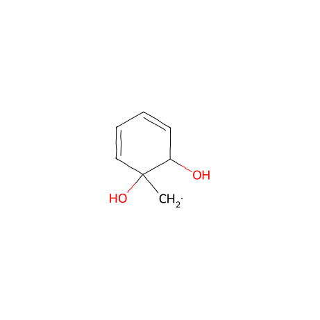 [CH2]C1(O)C=CC=CC1O